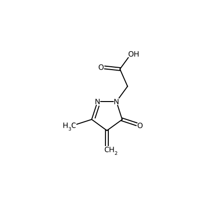 C=C1C(=O)N(CC(=O)O)N=C1C